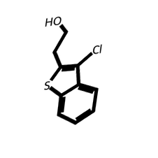 OCCc1sc2ccccc2c1Cl